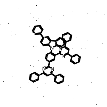 c1ccc(-c2ccc3c(c2)c2ccccc2n3-c2ccc(-c3nc(-c4ccccc4)cc(-c4ccccc4)n3)cc2-c2nc(-c3ccccc3)cc(-c3ccccc3)n2)cc1